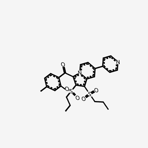 CCCS(=O)(=O)c1c(S(=O)(=O)CCC)c2cc(-c3ccncc3)ccn2c1C(=O)c1ccc(C)cc1C